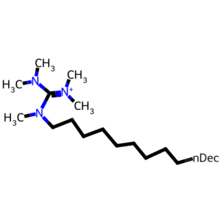 CCCCCCCCCCCCCCCCCCCN(C)C(N(C)C)=[N+](C)C